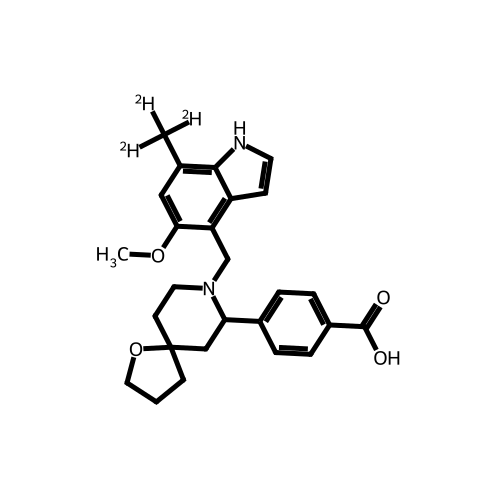 [2H]C([2H])([2H])c1cc(OC)c(CN2CCC3(CCCO3)CC2c2ccc(C(=O)O)cc2)c2cc[nH]c12